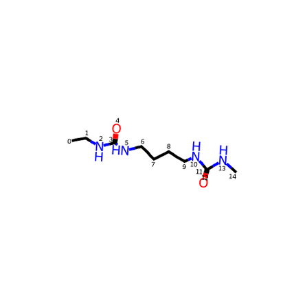 CCNC(=O)NCCCCNC(=O)NC